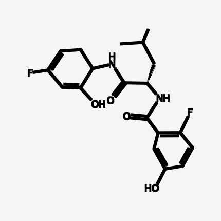 CC(C)C[C@H](NC(=O)c1cc(O)ccc1F)C(=O)NC1CC=C(F)C=C1O